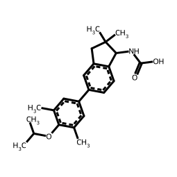 Cc1cc(-c2ccc3c(c2)CC(C)(C)C3NC(=O)O)cc(C)c1OC(C)C